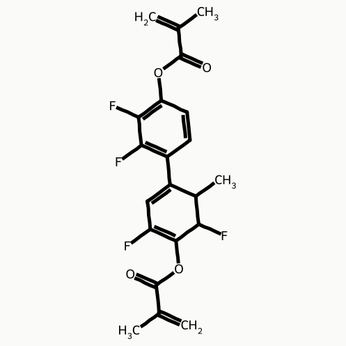 C=C(C)C(=O)OC1=C(F)C=C(c2ccc(OC(=O)C(=C)C)c(F)c2F)C(C)C1F